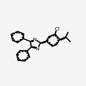 CC(C)=c1ccc(=C2N=C(c3ccccc3)C(c3ccccc3)=N2)cc1Cl